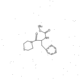 CC(C)(C)OC(=O)NC(Cc1ccccc1)C(=O)N1CCSCC1